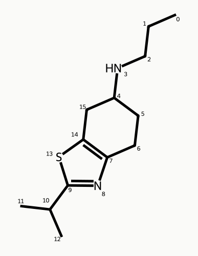 CCCNC1CCc2nc(C(C)C)sc2C1